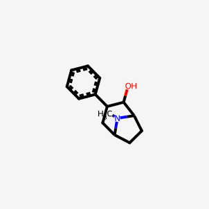 CN1C2CCC1C(O)C(c1ccccc1)C2